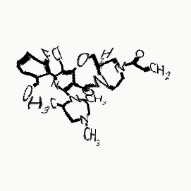 C=CC(=O)N1CCN2C(=O)c3c(N4C(C)CN(C)CC4C)nc(-c4c(F)cccc4C=O)c(Cl)c3OC[C@H]2C1